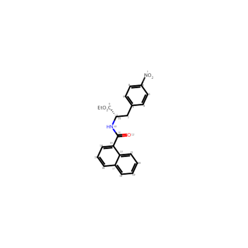 CCOC(=O)[C@H](Cc1ccc([N+](=O)[O-])cc1)NC(=O)c1cccc2ccccc12